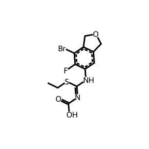 CCS/C(=N\C(=O)O)Nc1cc2c(c(Br)c1F)COC2